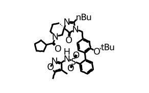 CCCCC1=N[C@@]2(CCCN(C(=O)C3CCCC3)C2)C(=O)N1Cc1ccc(-c2ccccc2S(=O)(=O)Nc2noc(C)c2C)c(OC(C)(C)C)c1